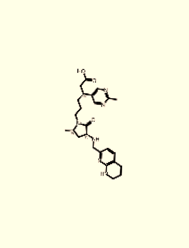 Cc1ncc([C@@H](CCCN2C(=O)[C@@H](NCc3ccc4c(n3)NCCC4)C[C@H]2C)CC(=O)O)cn1